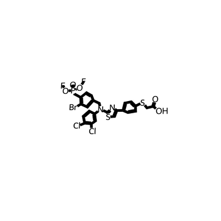 O=C(O)CSc1ccc(-c2csc(N(Cc3ccc(CP(=O)(OF)OF)c(Br)c3)c3ccc(Cl)c(Cl)c3)n2)cc1